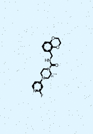 C[C@@H]1CN(c2ccnc(F)c2)CCN1C(=O)NCc1cccc2c1OCCO2